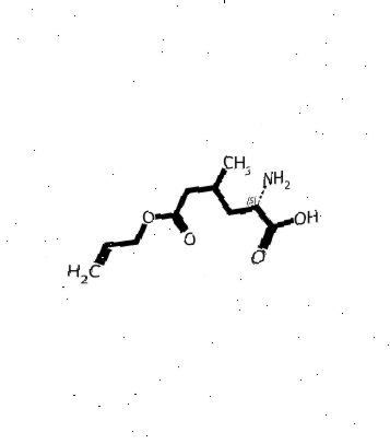 C=CCOC(=O)CC(C)C[C@H](N)C(=O)O